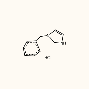 C1=CN(Cc2ccccc2)CN1.Cl